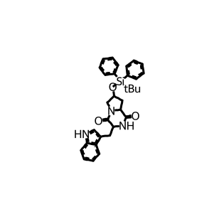 CC(C)(C)[Si](OC1CC2C(=O)NC(Cc3c[nH]c4ccccc34)C(=O)N2C1)(c1ccccc1)c1ccccc1